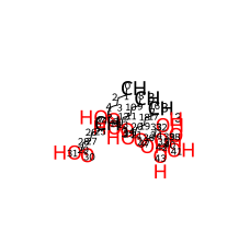 CCCCCC(=O)O.CCCCCC(=O)O.CCCCCC(=O)O.CCCCCC(=O)O.OCC(O)CO.OCC(O)CO